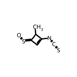 CC1C(N=C=S)=CC1=S=O